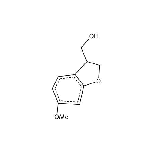 COc1ccc2c(c1)OCC2CO